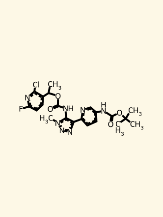 CC(OC(=O)Nc1c(-c2ccc(NC(=O)OC(C)(C)C)cn2)nnn1C)c1ccc(F)nc1Cl